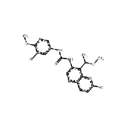 COc1ncc(NC(=O)Nc2cnc3ccc(Cl)nc3c2C(C)OC)cc1Cl